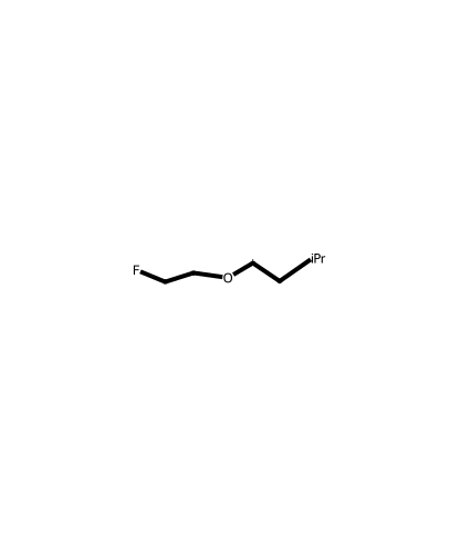 CC(C)C[CH]OCCF